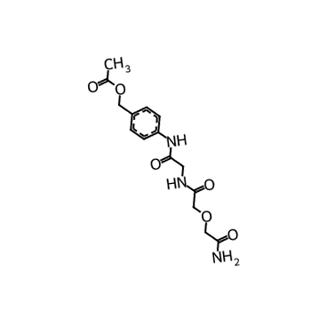 CC(=O)OCc1ccc(NC(=O)CNC(=O)COCC(N)=O)cc1